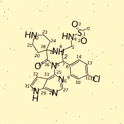 CS(=O)(=O)NCCC(c1ccc(Cl)cc1)N(C(=O)C1(N)CCNCC1)c1ncnc2[nH]ccc12